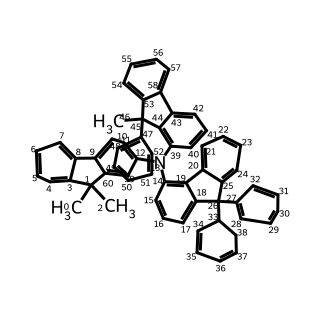 CC1(C)c2ccccc2-c2ccc(N(c3cccc4c3-c3ccccc3C4(c3ccccc3)C3C=CC=CC3)c3cccc4c3C(C)(c3ccccc3)c3ccccc3-4)cc21